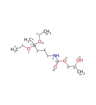 CCO[Si](C)(CCCNC(=O)OCC(C)O)OCC